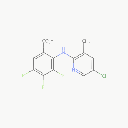 Cc1cc(Cl)cnc1Nc1c(C(=O)O)cc(F)c(F)c1F